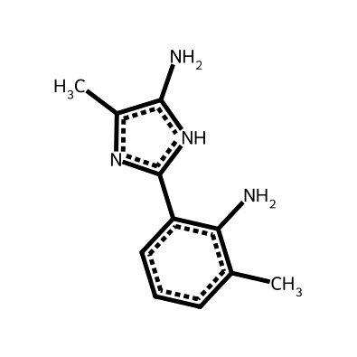 Cc1cccc(-c2nc(C)c(N)[nH]2)c1N